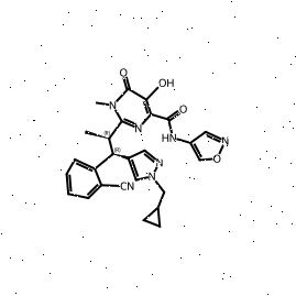 C[C@@H](c1nc(C(=O)Nc2cnoc2)c(O)c(=O)n1C)[C@@H](c1cnn(CC2CC2)c1)c1ccccc1C#N